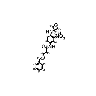 CC1(Nc2ccc(NC(=O)CCOCc3ccccc3)cc2[N+](=O)[O-])COC1